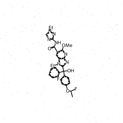 CCn1cnc(NC(=O)c2cc3c(nc2OC)nc(C(O)(c2ccc(OC(C)F)cc2)c2ccccc2F)n3CC)n1